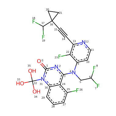 O=c1nc(N(CC(F)F)c2ccnc(C#CC3(C(F)F)CC3)c2F)c2c(F)cccc2n1C(O)(O)O